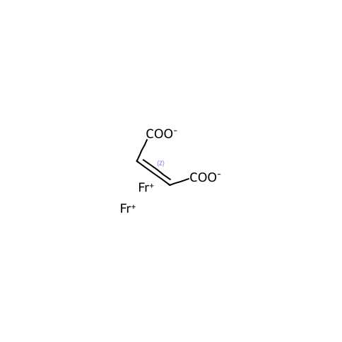 O=C([O-])/C=C\C(=O)[O-].[Fr+].[Fr+]